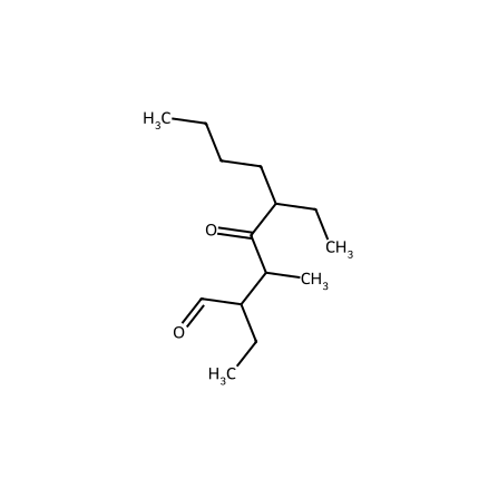 CCCCC(CC)C(=O)C(C)C(C=O)CC